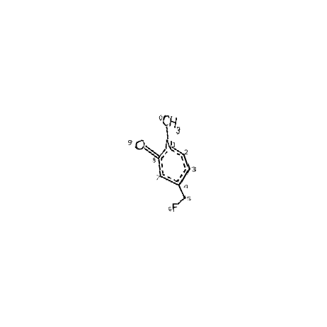 Cn1ccc(CF)cc1=O